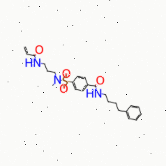 C=CC(=O)NCCCN(C)S(=O)(=O)c1ccc(C(=O)NCCCCc2ccccc2)cc1